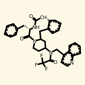 CC(=O)N[C@@H](Cc1ccccc1)C(=O)N1CCC(N(Cc2ccnc3ccccc23)C(=O)C(F)(F)F)CC1Cc1ccccc1